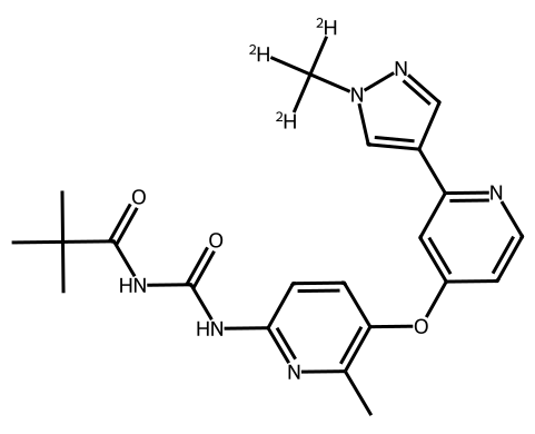 [2H]C([2H])([2H])n1cc(-c2cc(Oc3ccc(NC(=O)NC(=O)C(C)(C)C)nc3C)ccn2)cn1